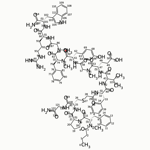 CCCC(=O)N(C)[C@@H](Cc1ccccc1)C(=O)N1CCC[C@H]1C(=O)N[C@@H](CSCC(=O)N[C@@H](Cc1ccccc1)C(=O)NC(C(=O)N[C@@H](CCC(=O)O)C(=O)N(C)CC(=O)N[C@@H](Cc1ccc(O)cc1)C(=O)N(C)[C@@H](Cc1ccccc1)C(=O)N(C)CC(=O)N[C@@H](CCCNC(=N)N)C(=O)N[C@@H](Cc1c[nH]c2ccccc12)C(N)=O)C(C)C)C(=O)NCC(N)=O